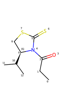 CCC(=O)N1C(=S)SC[C@@H]1C(C)C